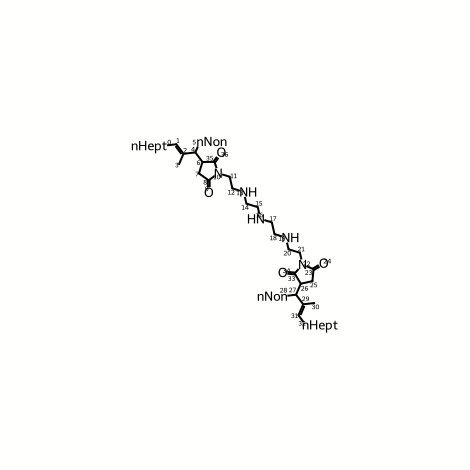 CCCCCCC/C=C(\C)C(CCCCCCCCC)C1CC(=O)N(CCNCCNCCNCCN2C(=O)CC(C(CCCCCCCCC)/C(C)=C/CCCCCCC)C2=O)C1=O